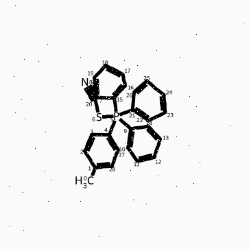 Cc1ccc(P(SC#N)(c2ccccc2)(c2ccccc2)c2ccccc2)cc1